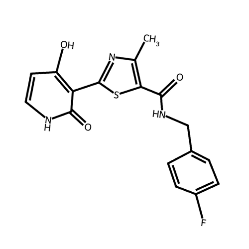 Cc1nc(-c2c(O)cc[nH]c2=O)sc1C(=O)NCc1ccc(F)cc1